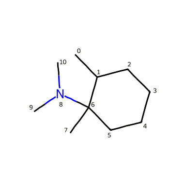 CC1CCCCC1(C)N(C)C